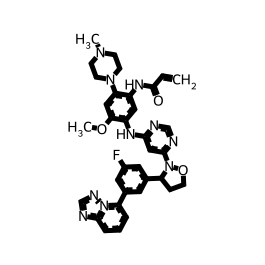 C=CC(=O)Nc1cc(Nc2cc(N3OCCC3c3cc(F)cc(-c4cccc5ncnn45)c3)ncn2)c(OC)cc1N1CCN(C)CC1